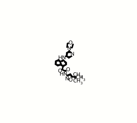 CC(C)(C)c1cc(NC(=O)C(=O)c2ccc(Nc3ccnc(N4CCOCC4)c3)c3ccccc23)no1